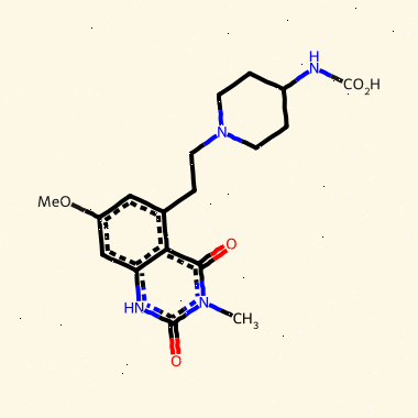 COc1cc(CCN2CCC(NC(=O)O)CC2)c2c(=O)n(C)c(=O)[nH]c2c1